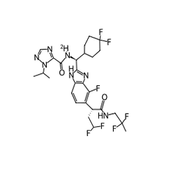 [2H]N(C(=O)c1ncnn1C(C)C)[C@H](c1nc2c(F)c([C@@H](CC(F)F)C(=O)NCC(C)(F)F)ccc2[nH]1)C1CCC(F)(F)CC1